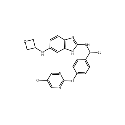 CCC(Nc1nc2ccc(NC3COC3)cc2[nH]1)c1ccc(Oc2ncc(Cl)cn2)cc1